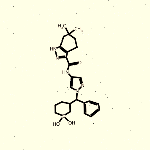 CC1(C)CCc2c(C(=O)Nc3cnn(C(c4ccccc4)C4CCCS(O)(O)C4)c3)n[nH]c2C1